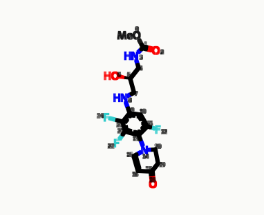 COC(=O)NC[C@H](O)CNc1cc(F)c(N2C=CC(=O)CC2)c(F)c1F